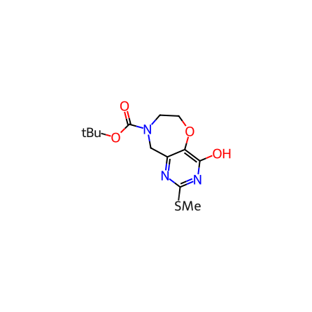 CSc1nc(O)c2c(n1)CN(C(=O)OC(C)(C)C)CCO2